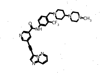 CN1CCN(C2CCN(Cc3ccc(NC(=O)c4cncc(C#Cc5cnc6cccnn56)c4)cc3C(F)(F)F)CC2)CC1